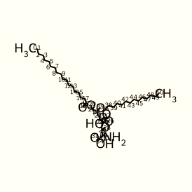 CCCCCCCCCCCCCCCCCCC(=O)OC[C@H](COP(=O)(O)OC[C@H](N)C(=O)O)OC(=O)CCCCCCCCCCCCC